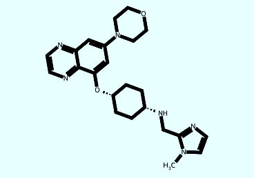 Cn1ccnc1CN[C@H]1CC[C@@H](Oc2cc(N3CCOCC3)cc3nccnc23)CC1